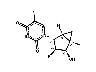 Cc1cn([C@H]2[C@H](F)[C@H](O)[C@]3(C)C[C@H]23)c(=O)[nH]c1=O